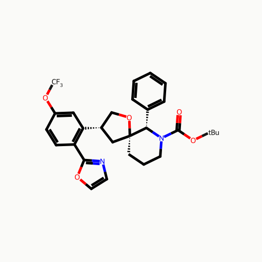 CC(C)(C)OC(=O)N1CCC[C@@]2(C[C@H](c3cc(OC(F)(F)F)ccc3-c3ncco3)CO2)[C@@H]1c1ccccc1